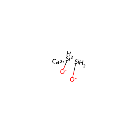 [Ca+2].[O-][SiH3].[O-][SiH3]